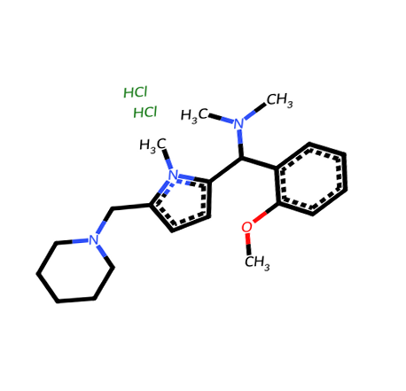 COc1ccccc1C(c1ccc(CN2CCCCC2)n1C)N(C)C.Cl.Cl